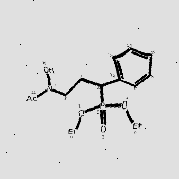 CCOP(=O)(OCC)C(CCN(O)C(C)=O)c1ccccc1